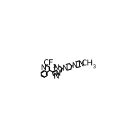 CN1CCN(C2CCN(c3cnc4c(-c5cc(C(F)(F)F)nc6ccccc56)cnn4c3)CC2)CC1